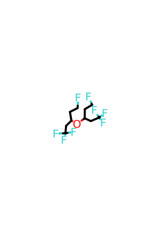 FCCC(CC(F)(F)F)OC(CCF)CC(F)(F)F